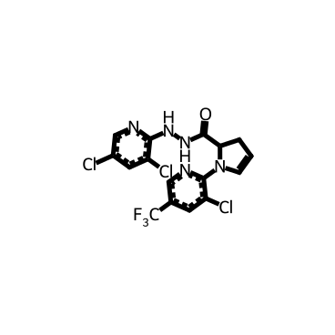 O=C(NNc1ncc(Cl)cc1Cl)C1CC=CN1c1ncc(C(F)(F)F)cc1Cl